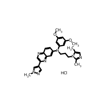 COc1cc(OC)cc(N(CCCn2c(C)cnc2C)c2ccc3ncc(-c4cnn(C)c4)nc3c2)c1.Cl